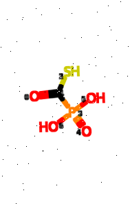 O=C(S)P(=O)(O)O